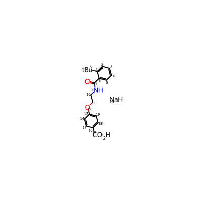 CC(C)(C)c1ccccc1C(=O)NCCOc1ccc(C(=O)O)cc1.[NaH]